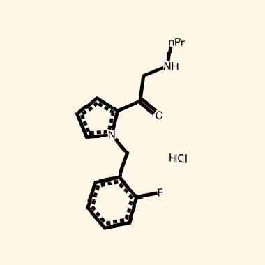 CCCNCC(=O)c1cccn1Cc1ccccc1F.Cl